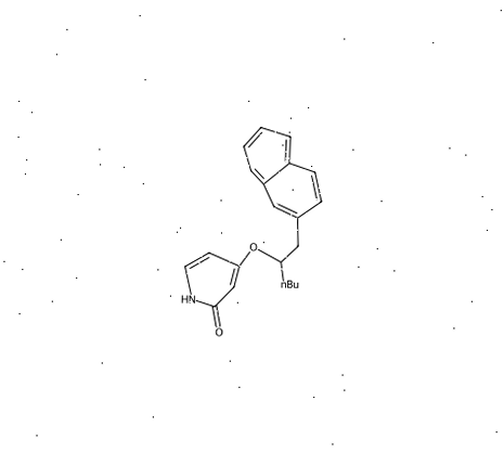 CCCCC(Cc1ccc2ccccc2c1)Oc1cc[nH]c(=O)c1